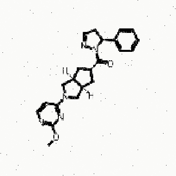 COc1nccc(N2C[C@H]3C[C@@H](C(=O)N4N=CC[C@H]4c4ccccc4)C[C@H]3C2)n1